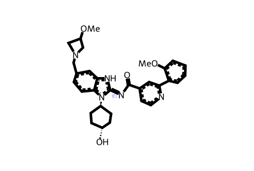 COc1ccccc1-c1cc(C(=O)/N=c2\[nH]c3cc(CN4CC(OC)C4)ccc3n2[C@H]2CC[C@@H](O)CC2)ccn1